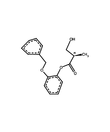 C[C@H](CO)C(=O)Oc1ccccc1OCc1ccccc1